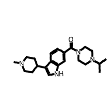 CC(C)N1CCN(C(=O)c2ccc3c(C4CCN(C)CC4)c[nH]c3c2)CC1